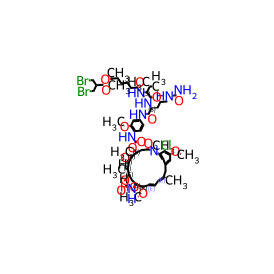 COc1cc(NC(=O)[C@H](CCCNC(N)=O)NC(=O)[C@@H](NC(=O)CCCCC(C)(C)OC(=O)C(CBr)CBr)C(C)C)ccc1NC(=O)O[C@H]1CC(=O)N(C)c2cc(cc(OC)c2Cl)C/C(C)=C/C=C/[C@@H](OC)[C@@]2(O)C[C@H](OC(=O)N2)[C@@H](C)[C@@H]2O[C@@]12C